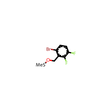 CSOCc1c(Br)ccc(F)c1F